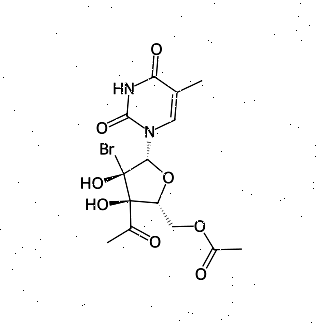 CC(=O)OC[C@H]1O[C@@H](n2cc(C)c(=O)[nH]c2=O)[C@@](O)(Br)[C@@]1(O)C(C)=O